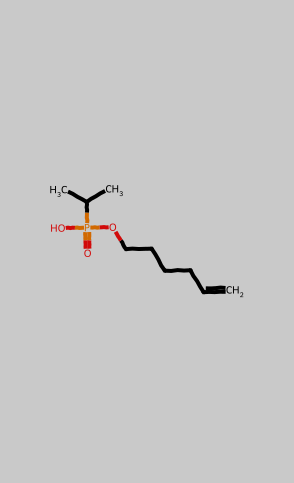 C=CCCCCOP(=O)(O)C(C)C